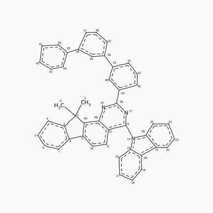 CC1(C)c2ccccc2-c2ccc3c(-n4c5ccccc5c5ccccc54)nc(-c4cccc(-c5cccc(-c6ccccc6)c5)c4)nc3c21